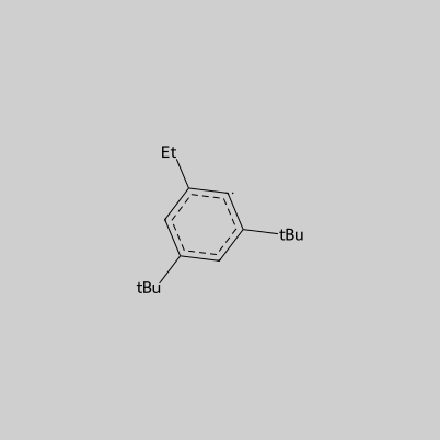 CCc1[c]c(C(C)(C)C)cc(C(C)(C)C)c1